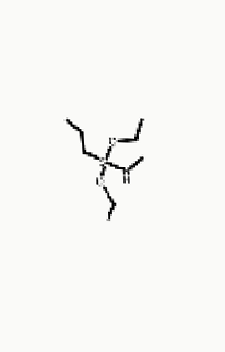 CCC[Si](NC)(OCC)OCC